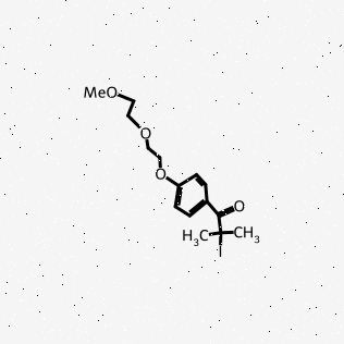 COCCOCCOc1ccc(C(=O)C(C)(C)I)cc1